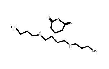 NCCCNCCCCNCCCN.O=C1CCCC(=O)O1